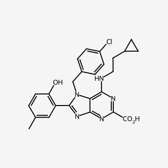 Cc1ccc(O)c(-c2nc3nc(C(=O)O)nc(NCCC4CC4)c3n2Cc2ccc(Cl)cc2)c1